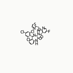 O=C(NC1N=C(c2c(Cl)cc(Cl)cc2Cl)c2ccccc2NC1=O)c1cc(F)cnc1OCc1nccs1